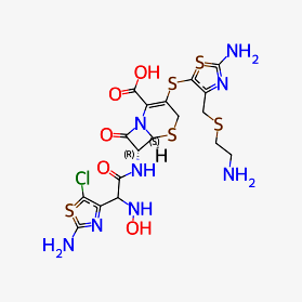 NCCSCc1nc(N)sc1SC1=C(C(=O)O)N2C(=O)[C@@H](NC(=O)C(NO)c3nc(N)sc3Cl)[C@@H]2SC1